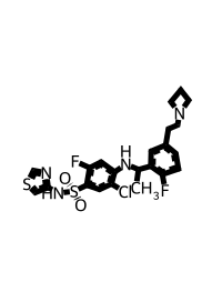 CC(Nc1cc(F)c(S(=O)(=O)Nc2cscn2)cc1Cl)c1cc(CCN2CCC2)ccc1F